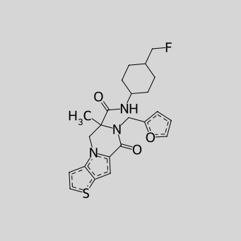 CC1(C(=O)NC2CCC(CF)CC2)Cn2c(cc3sccc32)C(=O)N1Cc1ccco1